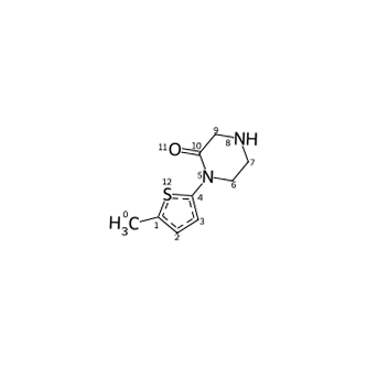 Cc1ccc(N2CCNCC2=O)s1